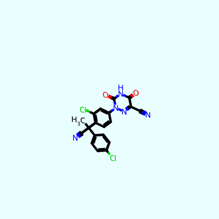 CC(C#N)(c1ccc(Cl)cc1)c1ccc(-n2nc(C#N)c(=O)[nH]c2=O)cc1Cl